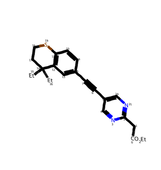 CCOC(=O)Cc1ncc(C#Cc2ccc3c(c2)C(CC)(CC)CCS3)cn1